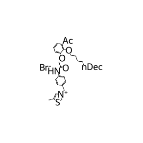 CCCCCCCCCCCCCCOc1c(OCC(=O)Nc2ccc(C[n+]3csc(C)c3)cc2)cccc1C(C)=O.[Br-]